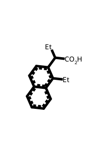 CCc1c(C(CC)C(=O)O)ccc2ccccc12